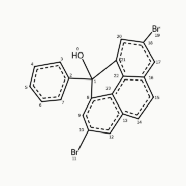 OC1(c2ccccc2)c2cc(Br)cc3ccc4cc(Br)cc1c4c23